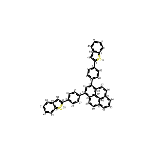 c1ccc2sc(-c3ccc(-c4cc(-c5ccc(-c6cc7ccccc7s6)cc5)c5ccc6cccc7ccc4c5c76)cc3)cc2c1